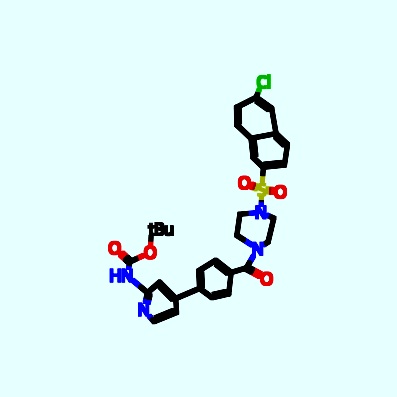 CC(C)(C)OC(=O)Nc1cc(-c2ccc(C(=O)N3CCN(S(=O)(=O)c4ccc5cc(Cl)ccc5c4)CC3)cc2)ccn1